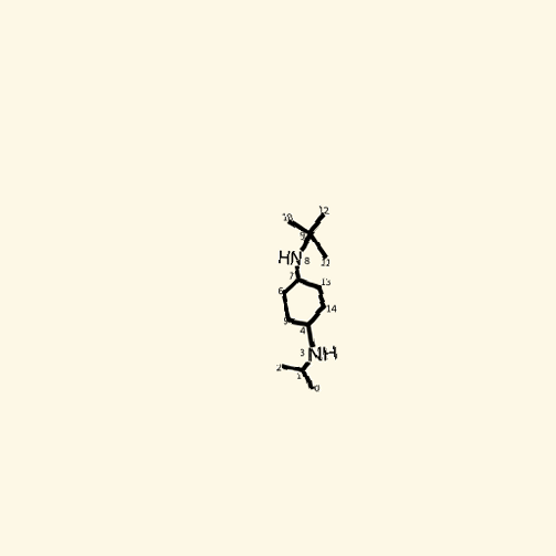 CC(C)NC1CCC(NC(C)(C)C)CC1